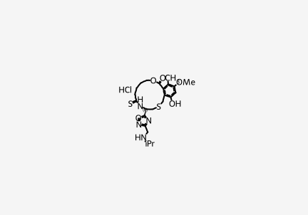 COc1cc(O)c2c(c1C)C(=O)OCCCCC(=S)N[C@H](c1nc(CNC(C)C)no1)CSC2.Cl